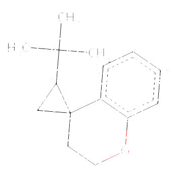 CC(C)(C)C1CC12CCOc1ccccc12